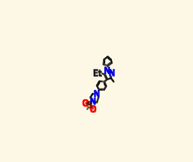 CCc1c(-c2ccc(N3CCN(S(C)(=O)=O)CC3)cc2)c(C)nn1-c1ccccc1